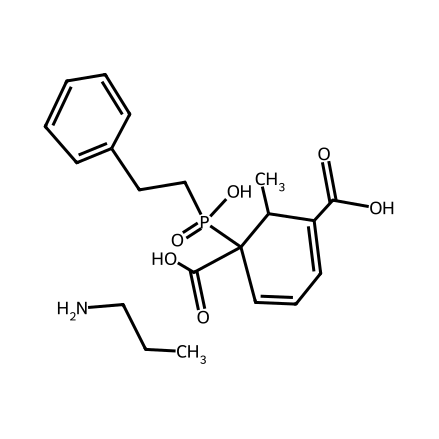 CC1C(C(=O)O)=CC=CC1(C(=O)O)P(=O)(O)CCc1ccccc1.CCCN